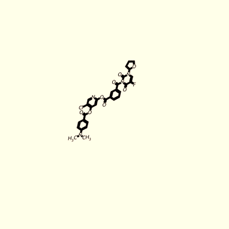 CN(C)c1ccc(C(=O)Oc2cc(OC(=O)c3cccc(C(=O)n4c(=O)c(F)cn(C5CCCO5)c4=O)c3)ncc2Cl)cc1